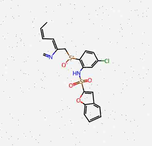 C=N/C(=C\C=C/C)C[S+]([O-])c1ccc(Cl)cc1NS(=O)(=O)c1cc2ccccc2o1